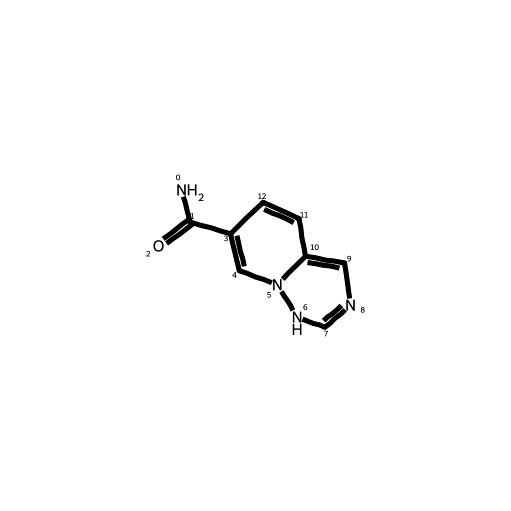 NC(=O)C1=CN2NC=NC=C2C=C1